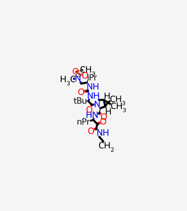 C=CCNC(=O)C(=O)C(CCC)NC(=O)[C@@H]1[C@@H]2[C@H](CN1C(=O)[C@@H](NC(=O)N[C@H](CN(C)S(C)(=O)=O)C(C)C)C(C)(C)C)C2(C)C